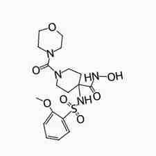 COc1ccccc1S(=O)(=O)NC1(C(=O)NO)CCN(C(=O)N2CCOCC2)CC1